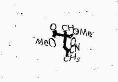 COC(=O)C(C)(CC(C)C#N)C(=O)OC